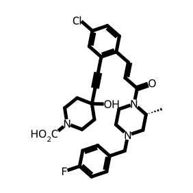 C[C@@H]1CN(Cc2ccc(F)cc2)CCN1C(=O)/C=C/c1ccc(Cl)cc1C#CC1(O)CCN(C(=O)O)CC1